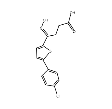 O=C(O)CC/C(=N\O)c1ccc(-c2ccc(Cl)cc2)s1